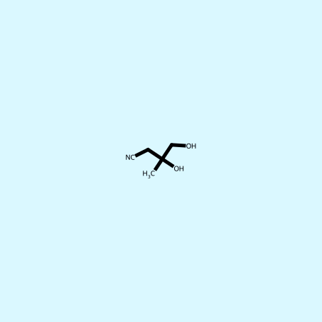 CC(O)(CO)CC#N